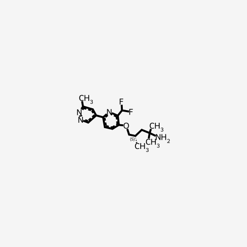 Cc1cc(-c2ccc(OC[C@@H](C)CC(C)(C)N)c(C(F)F)n2)cnn1